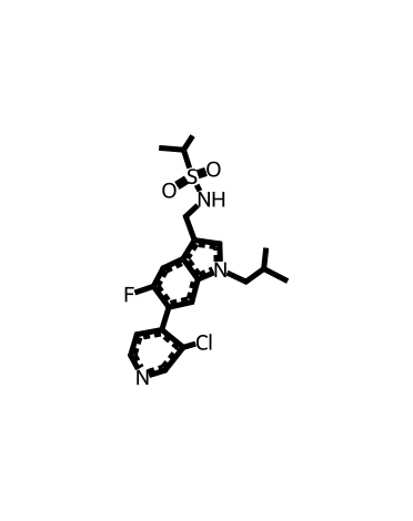 CC(C)Cn1cc(CNS(=O)(=O)C(C)C)c2cc(F)c(-c3ccncc3Cl)cc21